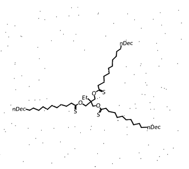 CCCCCCCCCCCCCCCCCCCCC(=S)OCC(CC)(COC(=S)CCCCCCCCCCCCCCCCCCCC)COC(=S)CCCCCCCCCCCCCCCCCCCC